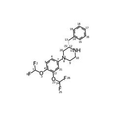 FC(F)Oc1ccc(N2CCN[C@@H](Cc3ccccc3)C2)cc1OC(F)F